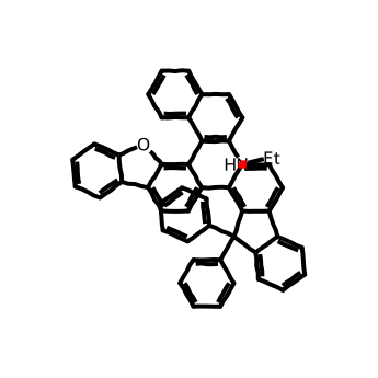 CCNc1ccc2ccccc2c1-c1c(-c2cccc3c2C(c2ccccc2)(c2ccccc2)c2ccccc2-3)ccc2c1oc1ccccc12